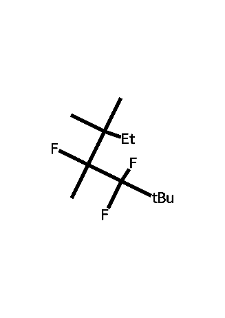 CCC(C)(C)C(C)(F)C(F)(F)C(C)(C)C